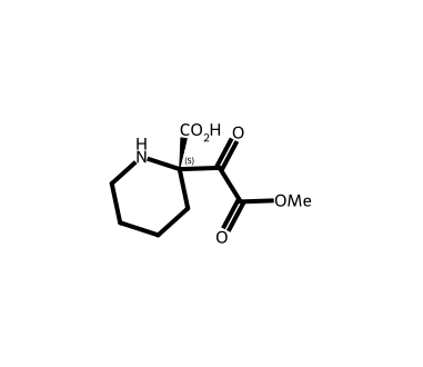 COC(=O)C(=O)[C@]1(C(=O)O)CCCCN1